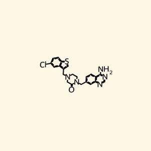 Nc1ncnc2cc(CN3CCN(Cc4csc5ccc(Cl)cc45)CC3=O)ccc12